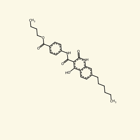 CCCCCCc1ccc2c(O)c(C(=O)Nc3ccc(C(=O)OCCCC)cc3)c(=O)[nH]c2c1